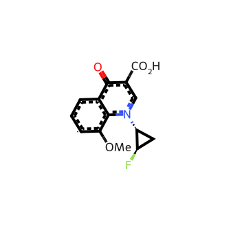 COc1[c]ccc2c(=O)c(C(=O)O)cn([C@@H]3C[C@H]3F)c12